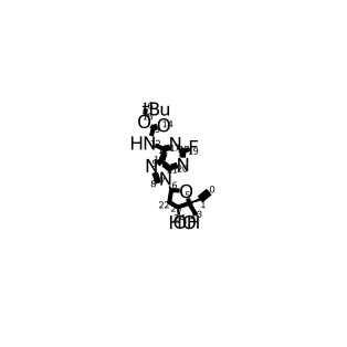 C#C[C@]1(CO)O[C@@H](n2cnc3c(NC(=O)OC(C)(C)C)nc(F)nc32)C[C@@H]1O